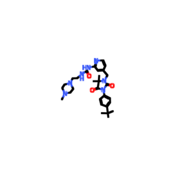 CN1CCN(CCNC(=O)Nc2cc(CN3C(=O)N(c4ccc(C(C)(C)C)cc4)C(=O)C3(C)C)ccn2)CC1